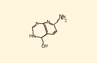 Nc1ccc2c(n1)N=CNC2O